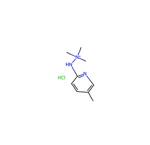 Cc1ccc(N[N+](C)(C)C)nc1.Cl